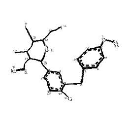 CCOc1ccc(Cc2cc(C3OC(CI)C(I)C(C)C3CC(C)=O)ccc2Cl)cc1